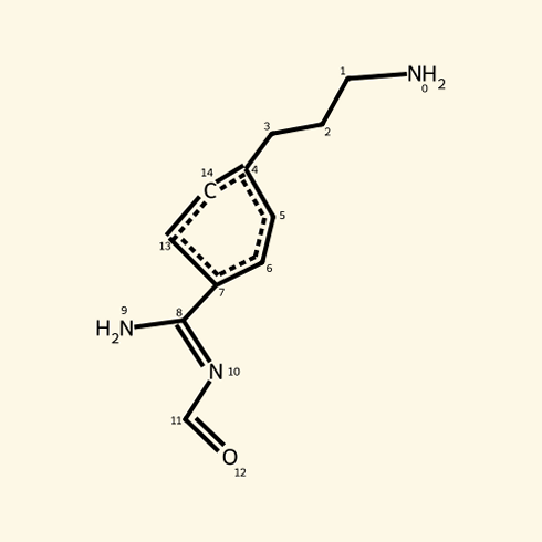 NCCCc1ccc(/C(N)=N/C=O)cc1